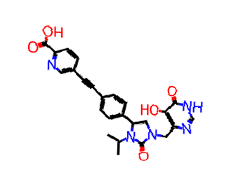 CC(C)N1C(=O)N(Cc2nc[nH]c(=O)c2O)CC1c1ccc(C#Cc2ccc(C(=O)O)nc2)cc1